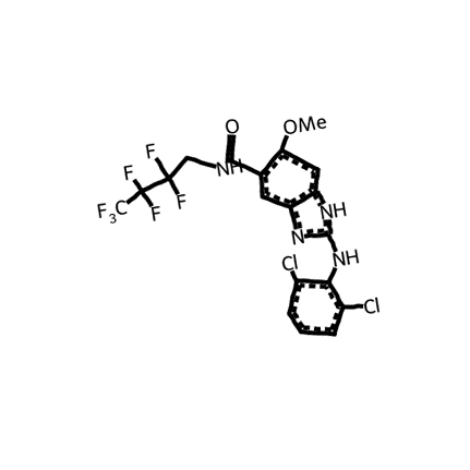 COc1cc2[nH]c(Nc3c(Cl)cccc3Cl)nc2cc1C(=O)NCC(F)(F)C(F)(F)C(F)(F)F